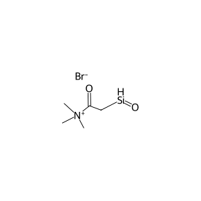 C[N+](C)(C)C(=O)C[SiH]=O.[Br-]